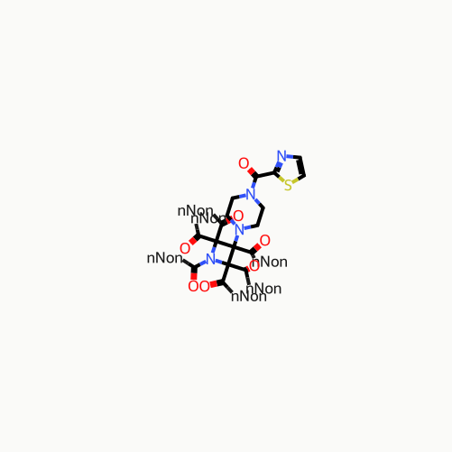 CCCCCCCCCC(=O)N1C(C(=O)CCCCCCCCC)(C(=O)CCCCCCCCC)C(C(=O)CCCCCCCCC)(N2CCN(C(=O)c3nccs3)CC2)C1(C(=O)CCCCCCCCC)C(=O)CCCCCCCCC